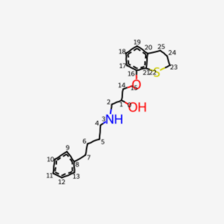 OC(CNCCCCc1ccccc1)COc1cccc2c1SCCC2